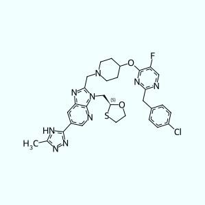 Cc1nnc(-c2cnc3c(c2)nc(CN2CCC(Oc4nc(Cc5ccc(Cl)cc5)ncc4F)CC2)n3C[C@H]2OCCS2)[nH]1